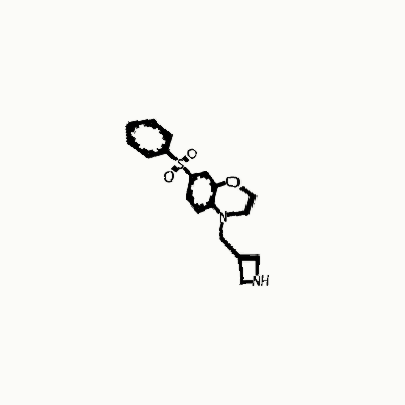 O=S(=O)(c1ccccc1)c1ccc2c(c1)OCCN2CC1CNC1